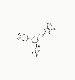 Cc1nc(SCc2cc(N3CCS(=O)(=O)CC3)cc(NCC(F)(F)F)n2)oc1C